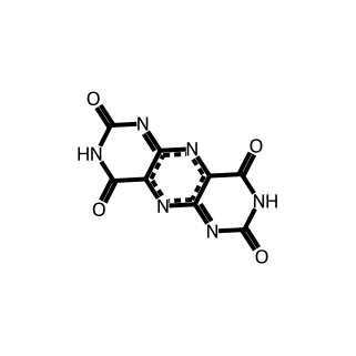 O=C1N=c2nc3c(nc2C(=O)N1)=NC(=O)NC3=O